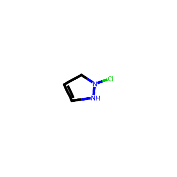 ClN1CC=CN1